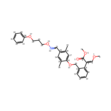 COC=C(C(=O)OC)c1ccccc1COc1cc(C)c(C=NOCCCOc2ccccc2)cc1C